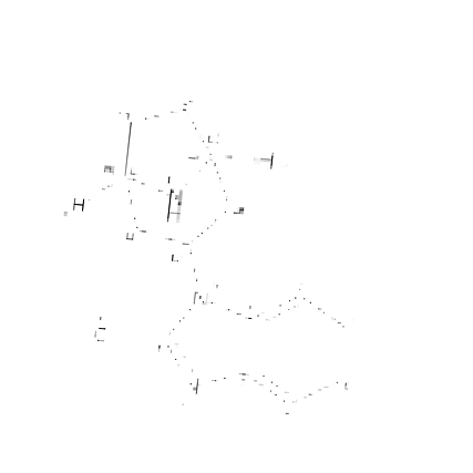 Clc1nc2ccccc2n1C1C[C@H]2CC[C@@H](C1)N2